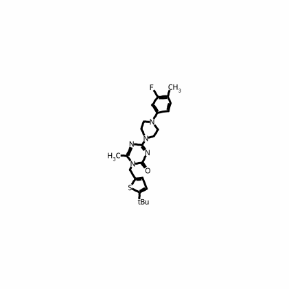 Cc1ccc(N2CCN(c3nc(C)n(Cc4ccc(C(C)(C)C)s4)c(=O)n3)CC2)cc1F